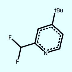 CC(C)(C)c1ccnc(C(F)F)c1